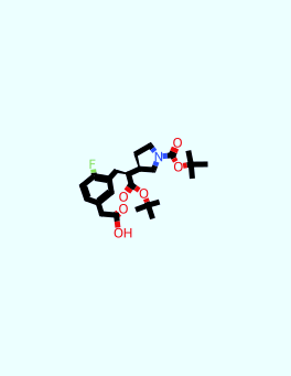 CC(C)(C)OC(=O)[C@@H](Cc1cc(CC(=O)O)ccc1F)[C@H]1CCN(C(=O)OC(C)(C)C)C1